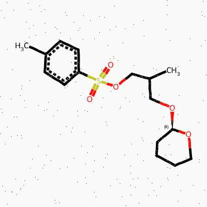 Cc1ccc(S(=O)(=O)OCC(C)CO[C@@H]2CCCCO2)cc1